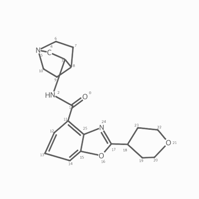 O=C(NC1CN2CCC1CC2)c1cccc2oc(C3CCOCC3)nc12